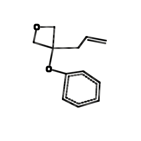 C=CCC1(Oc2ccccc2)COC1